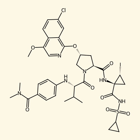 COc1cnc(O[C@@H]2C[C@@H](C(=O)N[C@]3(C(=O)NS(=O)(=O)C4CC4)C[C@H]3I)N(C(=O)[C@@H](Nc3ccc(C(=O)N(C)C)cc3)C(C)C)C2)c2cc(Cl)ccc12